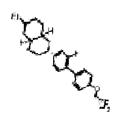 CCC1CC[C@@H]2C[C@H](c3ccc(-c4ccc(OCC(F)(F)F)cc4)c(F)c3)CC[C@@H]2C1